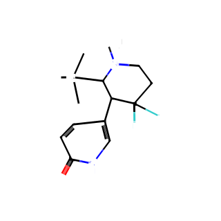 CCOC(=O)N1CCC(F)(F)C(c2ccc(=O)[nH]c2)C1[Si](C)(C)C